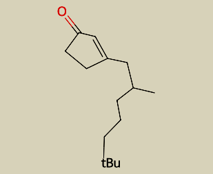 CC(CCCC(C)(C)C)CC1=CC(=O)CC1